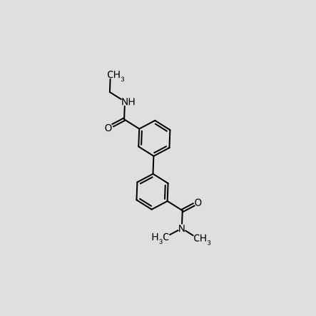 CCNC(=O)c1cccc(-c2cccc(C(=O)N(C)C)c2)c1